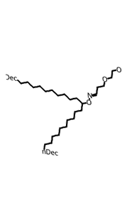 CCCCCCCCCCCCCCCCCCCCC(CCCCCCCCCCCCCCCCCCCC)O/N=C/CCOCCOC